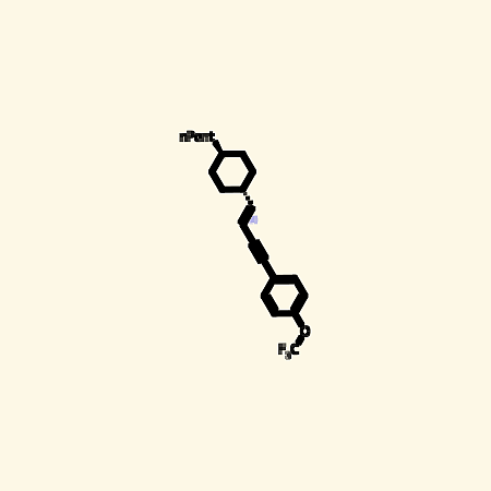 CCCCC[C@H]1CC[C@H](/C=C/C#Cc2ccc(OC(F)(F)F)cc2)CC1